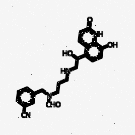 N#Cc1cccc(CN(C=O)CCCNCC(O)c2ccc(O)c3[nH]c(=O)ccc23)c1